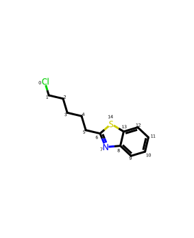 ClCCCCCc1nc2ccccc2s1